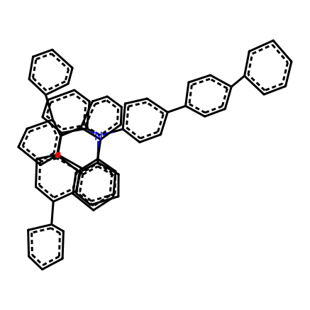 c1ccc(-c2ccc(-c3ccc(N(c4ccccc4-c4ccc(-c5ccccc5)cc4)c4ccccc4-c4cccc(-c5ccccc5)c4-c4ccccc4-c4ccccc4)cc3)cc2)cc1